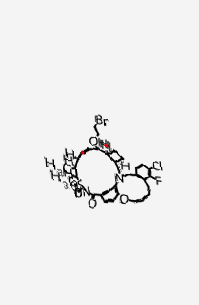 C[C@@H]1[C@@H](C)S(=O)(=O)NC(=O)c2ccc3c(c2)N(Cc2ccc(Cl)c(F)c2CCCCO3)C[C@@H]2CC[C@H]2[C@@H](OCCBr)C2=C[C@H]1C2